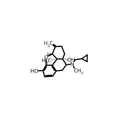 C=C1CC[C@@]2(O)C(N(C)CC3CC3)Cc3ccc(O)c4c3[C@@]2(C)[C@H]1O4